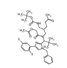 CC(=O)CCC(CNC(=O)OC(C)(C)C)CN(C(=O)COC(C)=O)C(c1nc(-c2cc(F)ccc2F)cn1Cc1ccccc1)C(C)(C)C